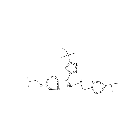 CC(C)(C)c1ccc(CC(=O)NC(c2ccc(OCC(F)(F)F)cn2)c2cn(C(C)(C)CF)nn2)cc1